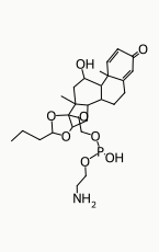 CCCC1OC2CC3C4CCC5=CC(=O)C=CC5(C)C4C(O)CC3(C)C2(C(=O)COP(O)OCCN)O1